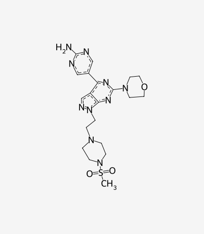 CS(=O)(=O)N1CCN(CCn2ncc3c(-c4cnc(N)nc4)nc(N4CCOCC4)nc32)CC1